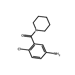 Nc1ccc(Cl)c(C(=O)N2CCCCC2)c1